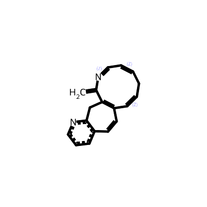 C=C1/N=C\C=C/C/C=C\C2=C1Cc1ncccc1C=C2